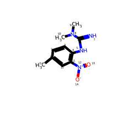 Cc1ccc(NC(=N)N(C)C)c([N+](=O)[O-])c1